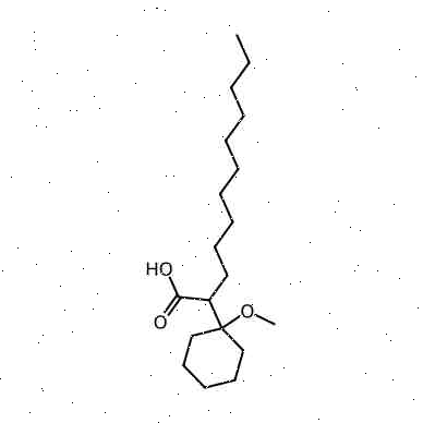 CCCCCCCCCCC(C(=O)O)C1(OC)CCCCC1